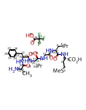 CSCC[C@H](NC(=O)[C@H](CC(C)C)NC(=O)CNC(=O)[C@@H](NC(=O)[C@H](Cc1ccccc1)NC(=O)[C@H](C)N)C(C)C)C(=O)O.O=C(O)C(F)(F)F